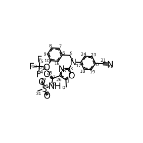 Cc1oc(N(Cc2cccc(OC(F)(F)F)c2)c2ccc(C#N)cc2)nc1C(=O)NS(C)(=O)=O